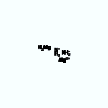 [Mg+2].[MgH2].[NH2-].[NH2-]